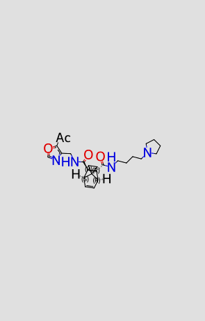 CC(=O)c1ocnc1CNC(=O)[C@H]1[C@H](C(=O)NCCCCN2CCCC2)[C@H]2C=C[C@@H]1C21CC1